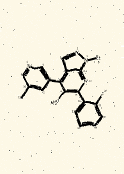 CCn1ncc2c(-c3cncc(C)c3)c(OC)c(-c3ccccc3F)nc21